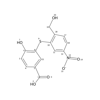 O=C(O)c1ccc(O)c(Sc2cc([N+](=O)[O-])ccc2CO)c1